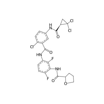 O=C(Nc1ccc(F)c(NC(=O)C2CCCO2)c1F)c1cc(NC(=O)[C@H]2CC2(Cl)Cl)ccc1Cl